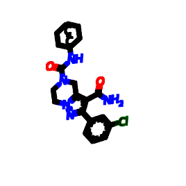 NC(=O)c1c(-c2cccc(Cl)c2)nn2c1CN(C(=O)NC13CCC(CC1)CC3)CC2